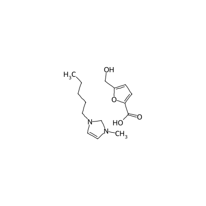 CCCCCN1C=CN(C)C1.O=C(O)c1ccc(CO)o1